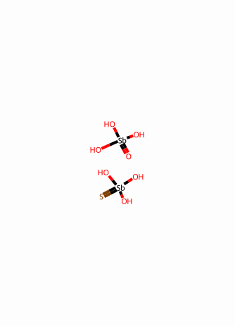 [OH][Sb]([OH])([OH])=[S].[O]=[Sb]([OH])([OH])[OH]